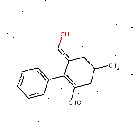 CC1CC(C=O)=C(c2ccccc2)/C(=C/O)C1